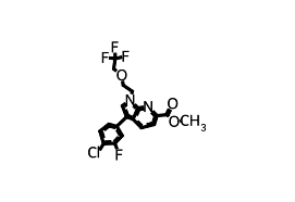 COC(=O)c1ccc2c(-c3ccc(Cl)c(F)c3)cn(CCOCC(F)(F)F)c2n1